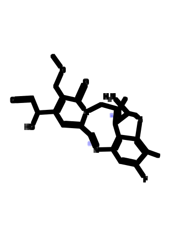 COCc1c(C(O)C=O)cc2n(c1=O)C/C(C)=C1/c3c(cc(F)c(C)c3SCC1N)/N=C/2